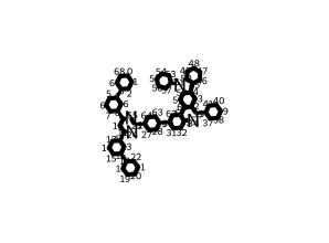 c1ccc(-c2cccc(-c3cc(-c4cccc(-c5ccccc5)c4)nc(-c4ccc(-c5ccc6nc(-c7ccccc7)c7cc8c9ccccc9n(-c9ccccc9)c8cc7c6c5)cc4)n3)c2)cc1